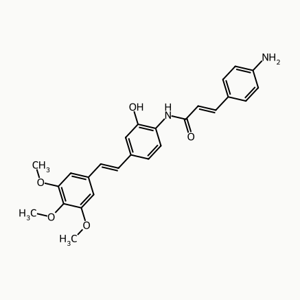 COc1cc(C=Cc2ccc(NC(=O)/C=C/c3ccc(N)cc3)c(O)c2)cc(OC)c1OC